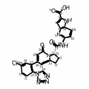 O=C(O)c1cc2nc(NC(=O)[C@@H]3CCc4cc(-c5cc(Cl)ccc5-n5cnnn5)cc(=O)n43)ccc2[nH]1